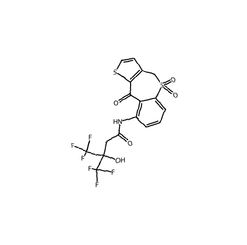 O=C(CC(O)(C(F)(F)F)C(F)(F)F)Nc1cccc2c1C(=O)c1sccc1CS2(=O)=O